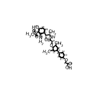 Cc1cc(-c2ccc(OCC(=O)O)cc2)cc(C)c1OCCN[C@@H](C)[C@H](O)c1ccc(O)c(S(C)(=O)=O)c1N